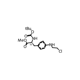 COC(=O)[C@H](Cc1ccc(NCCCl)cc1)NC(=O)OC(C)(C)C